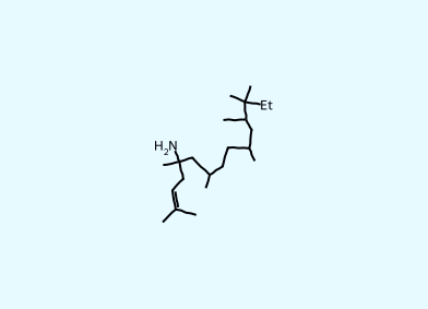 CCC(C)(C)C(C)CC(C)CCC(C)CC(C)(N)CC=C(C)C